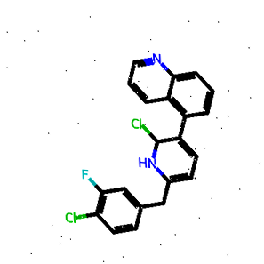 Fc1cc(CC2=[C]C=C(c3cccc4ncccc34)C(Cl)N2)ccc1Cl